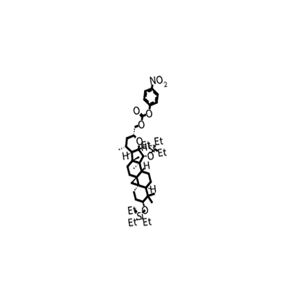 CC[Si](CC)(CC)O[C@H]1CC[C@]23C[C@]24CC[C@]2(C)[C@@H]5[C@H](O[C@@H](COC(=O)Oc6ccc([N+](=O)[O-])cc6)C[C@H]5C)[C@H](O[Si](CC)(CC)CC)[C@@]2(C)[C@@H]4CC[C@H]3C1(C)C